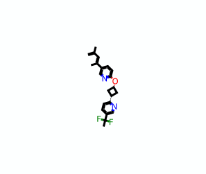 C=C(C)/C=C(\C)c1ccc(O[C@H]2C[C@@H](c3ccc(C(C)(F)F)cn3)C2)nc1